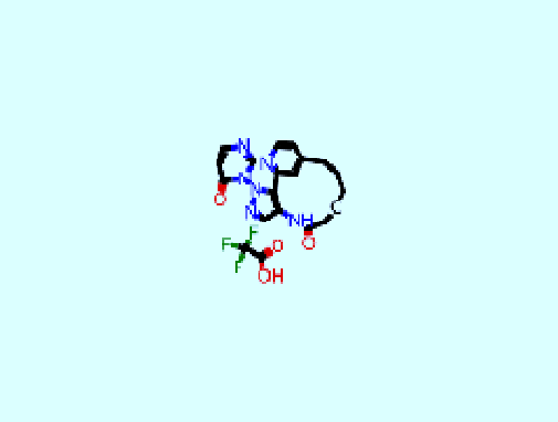 O=C(O)C(F)(F)F.O=C1CCCCCc2ccnc(c2)-c2c(cnn2-n2cnccc2=O)N1